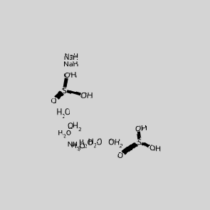 N.O.O.O.O.O.O.O.O=S(O)O.O=S(O)O.[NaH].[NaH]